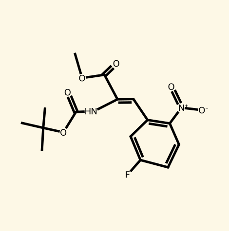 COC(=O)/C(=C/c1cc(F)ccc1[N+](=O)[O-])NC(=O)OC(C)(C)C